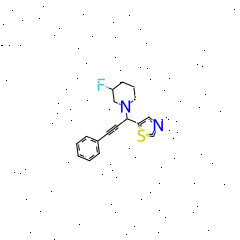 FC1CCCN(C(C#Cc2ccccc2)c2cncs2)C1